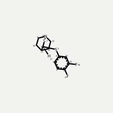 Fc1ccc(S[C@H]2CN3CCC2CC3)cc1F